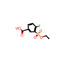 CCOS(=O)(=O)c1cc(C(=O)O)ccc1F